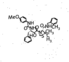 COc1ccc(NC(=O)N[C@@H](Cc2ccccc2)[C@H](O)C(=O)N2CSC(C)(C)[C@H]2C(=O)NCc2ccccc2C)cc1